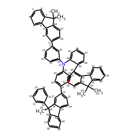 CC1(C)c2ccccc2-c2cc(-c3cccc(N(c4ccc(-c5ccc6c(c5)C(C)(c5ccccc5)c5ccccc5-6)cc4)c4ccccc4-c4cccc5c4-c4ccccc4C5(C)C)c3)ccc21